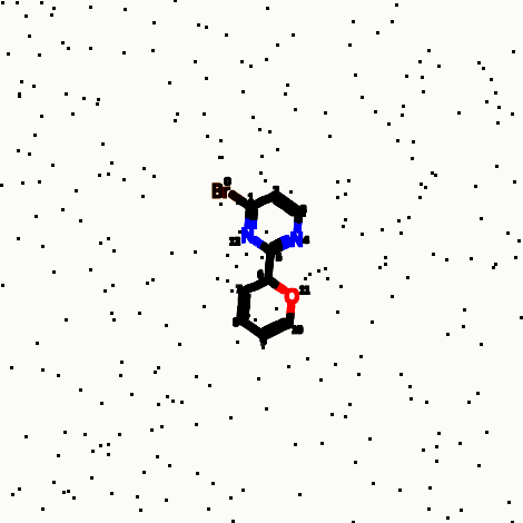 Brc1ccnc(C2C=CC=CO2)n1